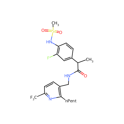 CCCCCc1nc(C(F)(F)F)ccc1CNC(=O)C(C)c1ccc(NS(C)(=O)=O)c(F)c1